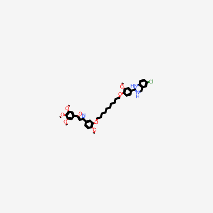 COc1cc(C2NCc3cc(Cl)ccc3N2)ccc1OCCCCCCCCCCOc1cc(-c2cc(-c3cc(OC)c(OC)c(OC)c3)on2)ccc1OC